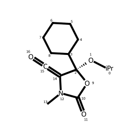 CC(C)O[C@]1(C2CCCCC2)OC(=O)N(C)C1=C=O